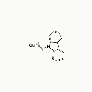 CC(C)(C)/C=N/n1c2ccccc2c2ccccc21